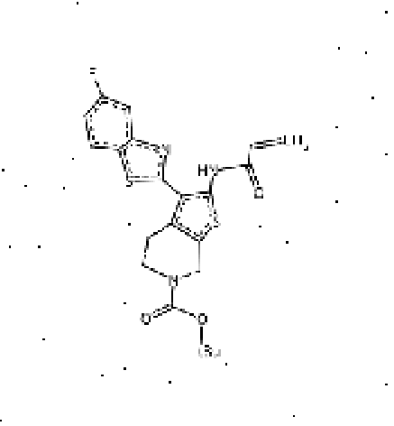 C=CC(=O)Nc1sc2c(c1-c1nc3cc(F)ccc3s1)CCN(C(=O)OC(C)(C)C)C2